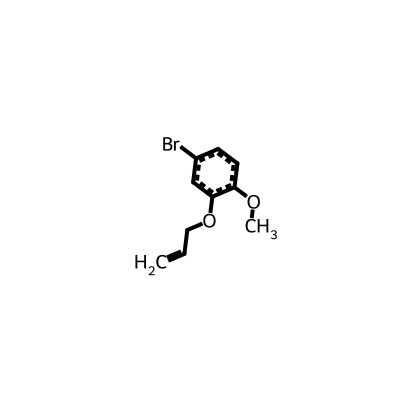 C=CCOc1cc(Br)ccc1OC